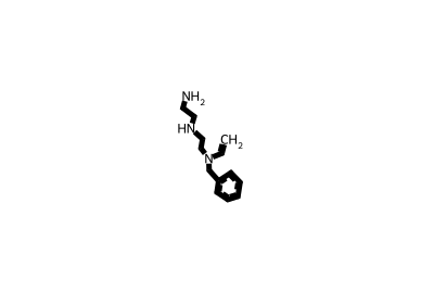 C=CN(CCNCCN)Cc1ccccc1